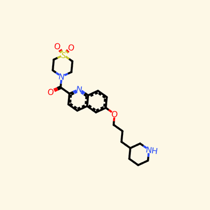 O=C(c1ccc2cc(OCCCC3CCCNC3)ccc2n1)N1CCS(=O)(=O)CC1